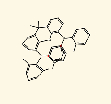 Cc1ccccc1P(c1ccccc1)c1cccc2c1Oc1c(P(c3ccccc3C)c3c(C)cccc3C)cccc1C2(C)C